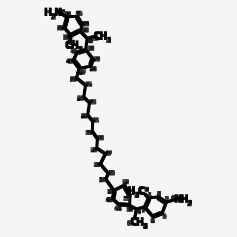 Cc1cc(N)ccc1C(C)c1ccc(CCCCCCCCCCCCCc2ccc(C(C)c3ccc(N)cc3C)cc2)cc1